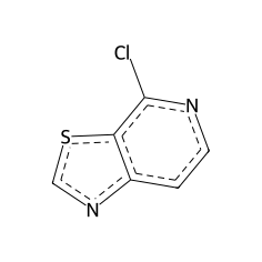 Clc1nccc2ncsc12